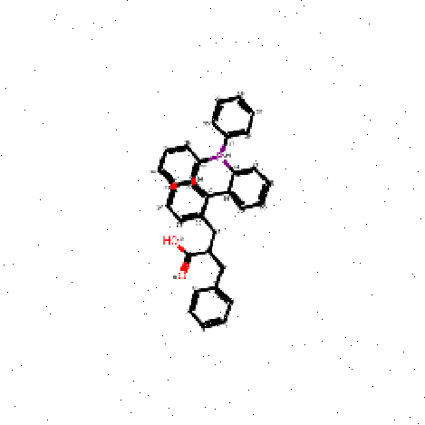 O=C(O)C(Cc1ccccc1)Cc1ccccc1-c1ccccc1P(c1ccccc1)c1ccccc1